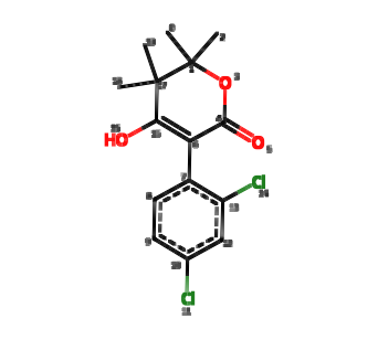 CC1(C)OC(=O)C(c2ccc(Cl)cc2Cl)=C(O)C1(C)C